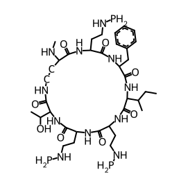 CCC(C)C1NC(=O)C(Cc2ccccc2)NC(=O)C(CCNP)NC(=O)C(NC)CCNC(=O)C(C(C)O)NC(=O)C(CCNP)NC(=O)C(CCNP)NC1=O